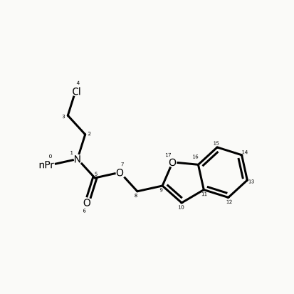 CCCN(CCCl)C(=O)OCc1cc2ccccc2o1